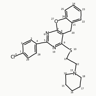 Clc1ccc(-c2nc3c(c(SCCN4CCCCC4)n2)Cc2ccccc2O3)cc1